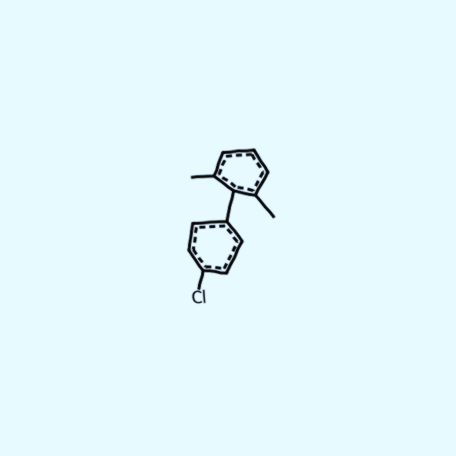 Cc1cccc(C)c1-c1ccc(Cl)cc1